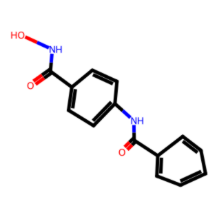 O=C(NO)c1ccc(NC(=O)c2ccccc2)cc1